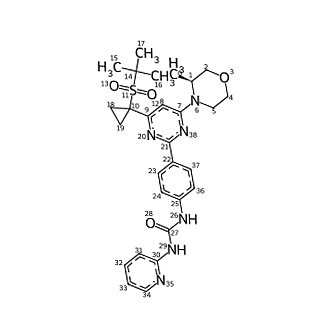 C[C@H]1COCCN1c1cc(C2(S(=O)(=O)C(C)(C)C)CC2)nc(-c2ccc(NC(=O)Nc3ccccn3)cc2)n1